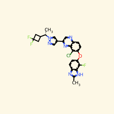 Cc1nc2ccc(Oc3ccc4ncc(-c5cnn([C@@H](C)C6CC(F)(F)C6)c5)nc4c3Cl)c(F)c2[nH]1